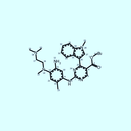 CCC(C)OC(=O)c1cnc(Nc2cc(N)c(N(C)CCN(C)C)cc2C)nc1-c1cn(C)c2ccccc12